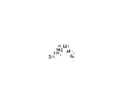 [AlH3].[LiH].[MgH2].[Ru].[SiH4].[Sm]